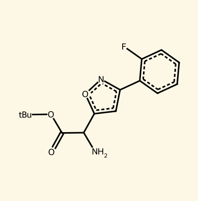 CC(C)(C)OC(=O)C(N)c1cc(-c2ccccc2F)no1